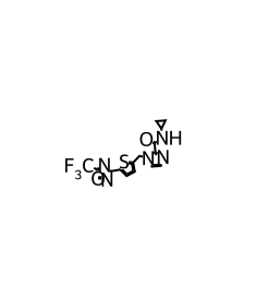 O=C(NC1CC1)c1nccn1Cc1ccc(-c2noc(C(F)(F)F)n2)s1